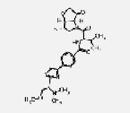 COC[C@@H](c1nc(-c2ccc(C(=O)NC(C(=O)N3C[C@H](F)[C@H]4OCC(=O)[C@H]43)C(C)C)cc2)cs1)N(C)C